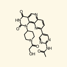 CC(=O)Nc1ncc(-c2ccc3ncc4c(=O)[nH]c(=O)n(C5CCN(C(=O)CO)CC5)c4c3n2)cn1